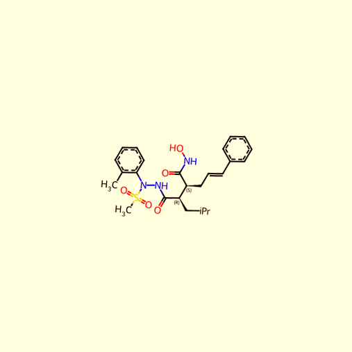 Cc1ccccc1N(NC(=O)[C@H](CC(C)C)[C@H](CC=Cc1ccccc1)C(=O)NO)S(C)(=O)=O